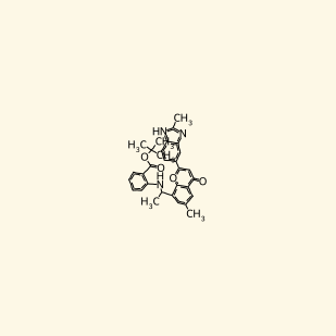 Cc1cc(C(C)Nc2ccccc2C(=O)OC(C)(C)C)c2oc(-c3ccc4[nH]c(C)nc4c3)cc(=O)c2c1